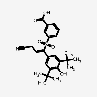 CC(C)(C)c1cc(/C(=C/CC#N)S(=O)(=O)c2cccc(C(=O)O)c2)cc(C(C)(C)C)c1O